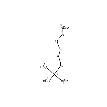 CCCCCCCCCCCCCCCC(CCCC)(CCCC)CCCC